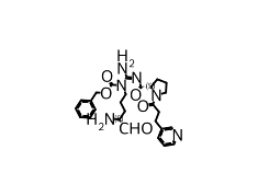 NC(=NC(=O)[C@@H]1CCCN1C(=O)CCc1cccnc1)N(CCC[C@H](N)C=O)C(=O)OCc1ccccc1